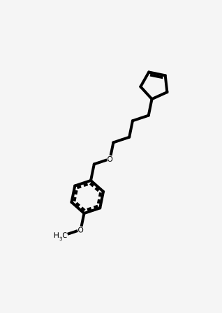 COc1ccc(COCCCCC2CC=CC2)cc1